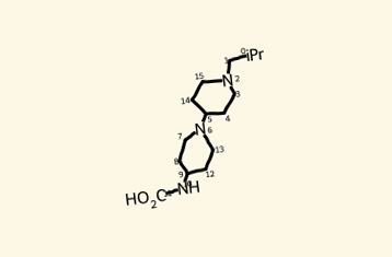 CC(C)CN1CCC(N2CCC(NC(=O)O)CC2)CC1